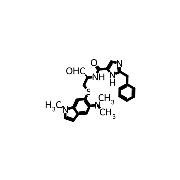 CN(C)c1cc2ccn(C)c2cc1SC[C@@H](C=O)NC(=O)c1cnc(Cc2ccccc2)[nH]1